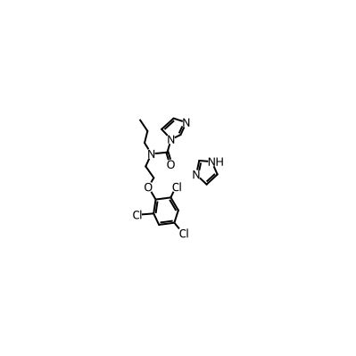 CCCN(CCOc1c(Cl)cc(Cl)cc1Cl)C(=O)n1ccnc1.c1c[nH]cn1